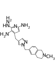 CN1CCc2cc(Cn3cc(Cc4cc(N)nc(NN)c4N)cn3)ccc2C1